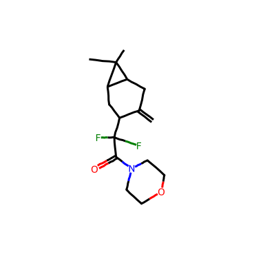 C=C1CC2C(CC1C(F)(F)C(=O)N1CCOCC1)C2(C)C